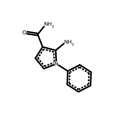 NC(=O)c1ccn(-c2ccccc2)c1N